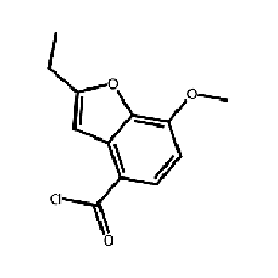 CCc1cc2c(C(=O)Cl)ccc(OC)c2o1